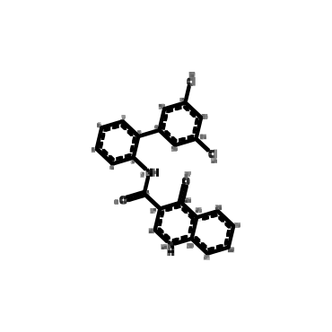 O=C(Nc1ccccc1-c1cc(Cl)cc(Cl)c1)c1c[nH]c2ccccc2c1=O